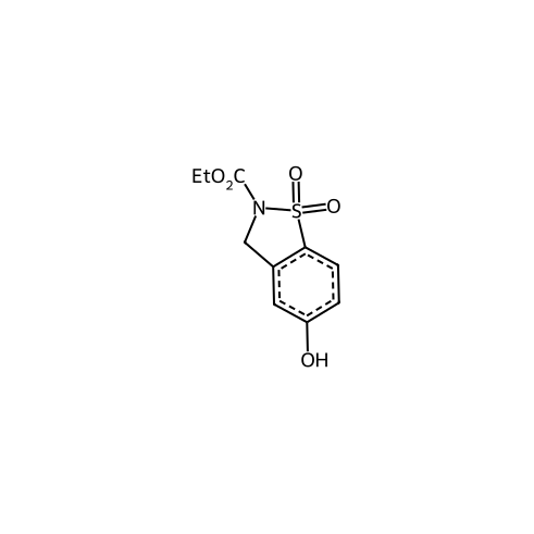 CCOC(=O)N1Cc2cc(O)ccc2S1(=O)=O